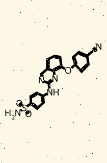 N#Cc1ccc(Oc2cccc3cnc(Nc4ccc(S(N)(=O)=O)cc4)nc23)cc1